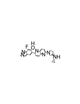 Cn1cc2cc(-c3ccc4nc(N5CC[C@H](NC6CC6)C5)ccc4n3)c(O)c(F)c2n1